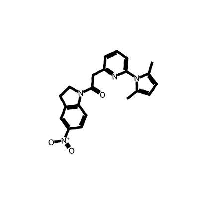 Cc1ccc(C)n1-c1cccc(CC(=O)N2CCc3cc([N+](=O)[O-])ccc32)n1